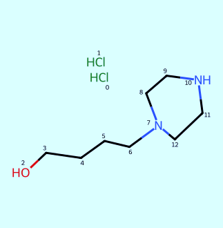 Cl.Cl.OCCCCN1CCNCC1